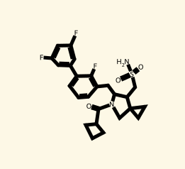 NS(=O)(=O)CC1C(Cc2cccc(-c3cc(F)cc(F)c3)c2F)N(C(=O)C2CCC2)CC12CC2